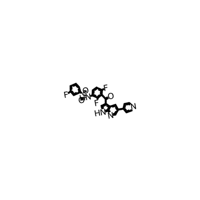 O=C(c1c(F)ccc(NS(=O)(=O)c2cccc(F)c2)c1F)c1c[nH]c2ncc(-c3ccncc3)cc12